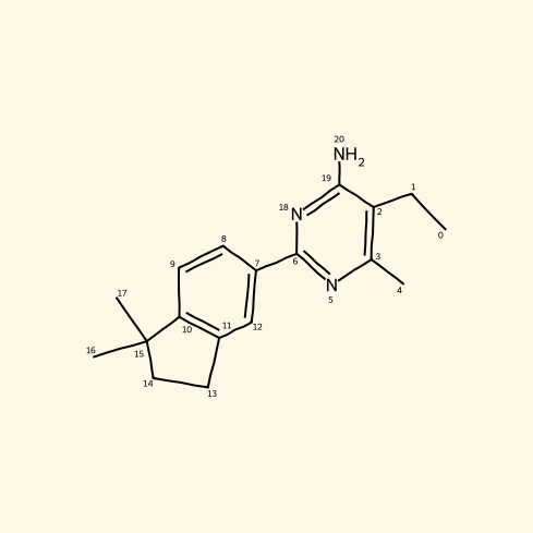 CCc1c(C)nc(-c2ccc3c(c2)CCC3(C)C)nc1N